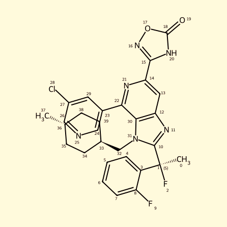 C[C@](F)(c1ccccc1F)c1nc2cc(-c3noc(=O)[nH]3)nc(-c3cncc(Cl)c3)c2n1C[C@H]1CC[C@H](C)CC1